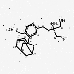 CCCCCCCCOc1ccc(CCC(N)(CO)CO)cc1C12CC3CC(CC(C3)C1)C2